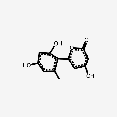 Cc1cc(O)cc(O)c1-c1cc(O)cc(=O)o1